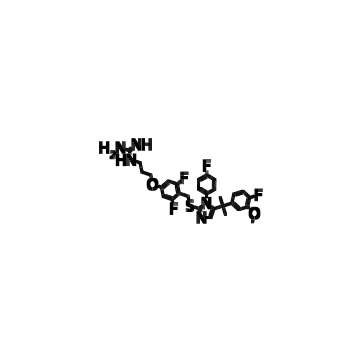 COc1cc(C(C)(C)c2cnc(SCc3c(F)cc(OCCCNC(=N)N)cc3F)n2-c2ccc(F)cc2)ccc1F